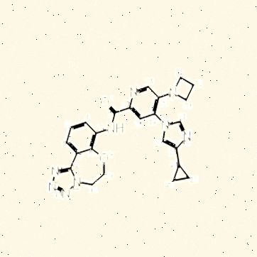 O=C(Nc1cccc2c1OCCn1nnnc1-2)c1cc(-n2cnc(C3CC3)c2)c(N2CCC2)cn1